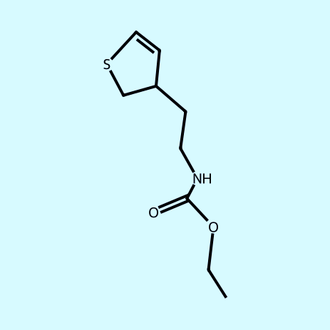 CCOC(=O)NCCC1C=CSC1